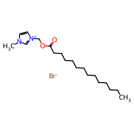 CCCCCCCCCCCCCC(=O)OC[n+]1ccn(C)c1.[Br-]